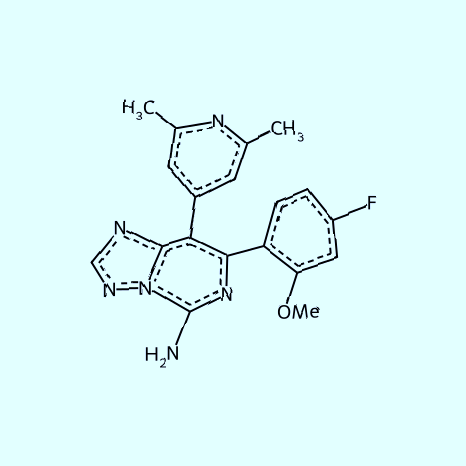 COc1cc(F)ccc1-c1nc(N)n2ncnc2c1-c1cc(C)nc(C)c1